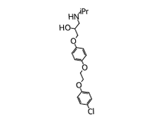 CC(C)NCC(O)COc1ccc(OCCOc2ccc(Cl)cc2)cc1